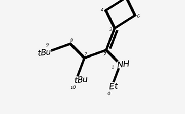 CCNC(=C1CCC1)C(CC(C)(C)C)C(C)(C)C